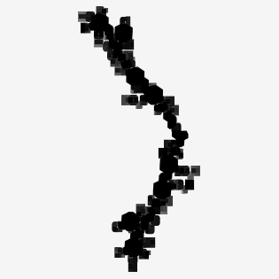 C/C(=C\OC=CCNC(=S)Nc1ccc(CCc2ccc(NC(=S)NNC(=O)C(Nc3ccc(Cl)cc3)C(=O)N/N=C/c3cc(Br)c(O)c(Br)c3O)cc2S(=O)(=O)O)c(S(=O)(=O)O)c1)CNC(=S)Nc1ccc(/C=C/c2ccc(NC(=S)NNC(=O)C(Nc3ccc(Cl)cc3)C(=O)N/N=C/c3cc(Br)c(O)c(Br)c3O)cc2S(=O)(=O)O)c(S(=O)(=O)O)c1